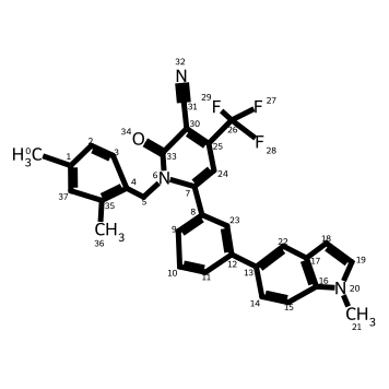 Cc1ccc(Cn2c(-c3cccc(-c4ccc5c(ccn5C)c4)c3)cc(C(F)(F)F)c(C#N)c2=O)c(C)c1